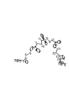 CCCC1OC1CCOC(=O)CCCS(=O)(=O)CCCC(=O)OCCC1OC1CCC